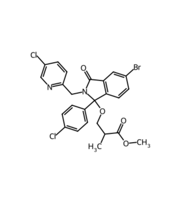 COC(=O)C(C)COC1(c2ccc(Cl)cc2)c2ccc(Br)cc2C(=O)N1Cc1ccc(Cl)cn1